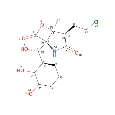 C[C@@]12OC(=O)[C@]1([C@@H](O)[C@H]1CCCC(O)C1O)NC(=O)[C@@H]2CCCl